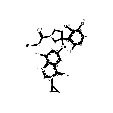 CC(C)(C)OC(=O)N1CCC(Nc2cc(F)c3ncn(C4CC4)c(=O)c3c2)(c2c(F)ccc(Cl)c2Cl)C1